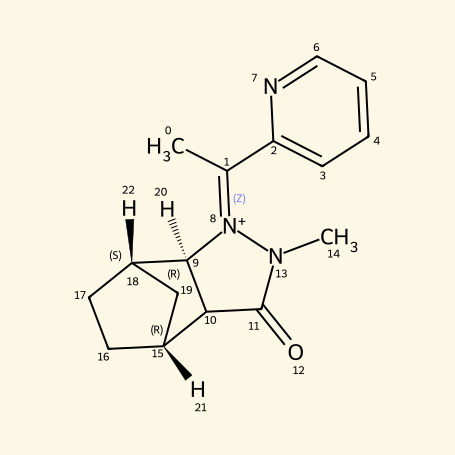 C/C(c1ccccn1)=[N+]1\[C@H]2C(C(=O)N1C)[C@@H]1CC[C@H]2C1